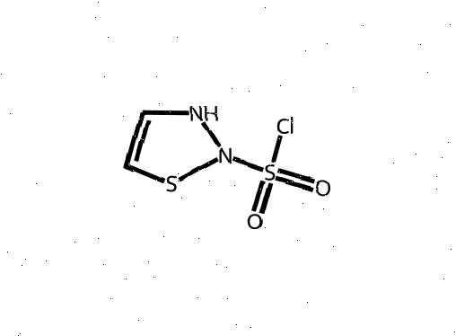 O=S(=O)(Cl)N1NC=CS1